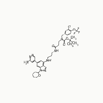 CC(C)(C)OC(=O)N(CCC(=O)NCCCNc1cc(-c2cnnc(N)c2)cc2c1cnn2C1CCCCO1)Cc1ccc(OC(F)(F)F)c(Cl)c1